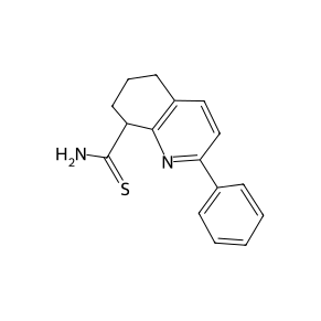 NC(=S)C1CCCc2ccc(-c3ccccc3)nc21